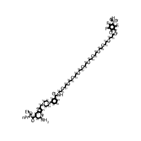 CCCN(OCC)C(=O)C1=Cc2sc(CN3CCN(c4cccc(C(=O)NCCOCCOCCOCCOCCOCCOCCOCCOCCOCCOCCC(=O)Oc5c(F)c(F)c([SH](=O)=O)c(F)c5F)c4)CC3)cc2N=C(N)C1